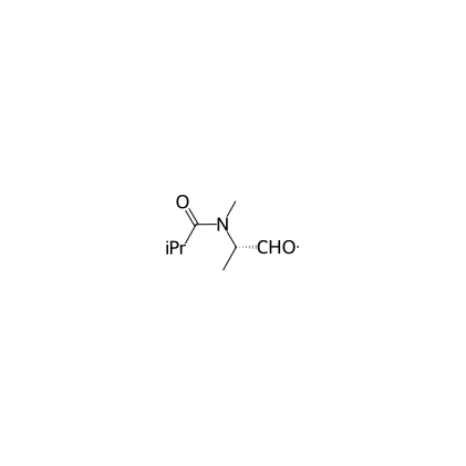 CC(C)C(=O)N(C)[C@@H](C)[C]=O